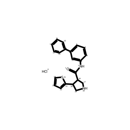 Cl.O=C(Nc1cccc(-c2ccccc2)c1)C1CNCC1c1cccs1